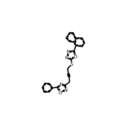 C(#CCc1noc(-c2ccccc2)n1)CSc1nnc(-c2cccc3ccccc23)o1